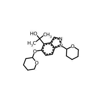 CC(C)(O)c1c(OC2CCCCO2)ccc2c1cnn2C1CCCCO1